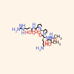 CC(=O)N[C@H](C(=O)N[C@@H](CCCCN)C(=O)N1CCC[C@@H]1C(=O)N1CCCC1C(=O)N[C@@H](CCCNC(=N)N)C(=O)O)[C@@H](C)O